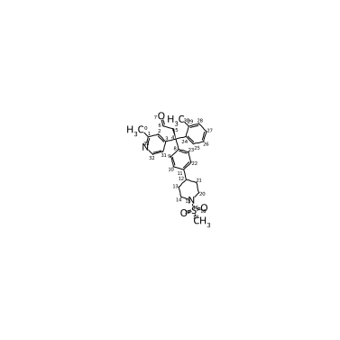 Cc1cc([C@@](CC=O)(c2ccc(C3CCN(S(C)(=O)=O)CC3)cc2)c2ccccc2C)ccn1